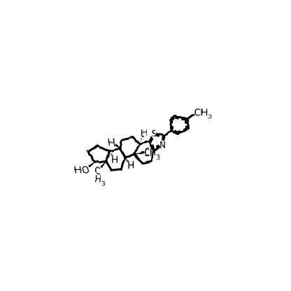 Cc1ccc(-c2nc3c(s2)[C@@H]2CC[C@@H]4[C@H](CC[C@]5(C)[C@@H](O)CC[C@@H]45)[C@@]2(C)CC3)cc1